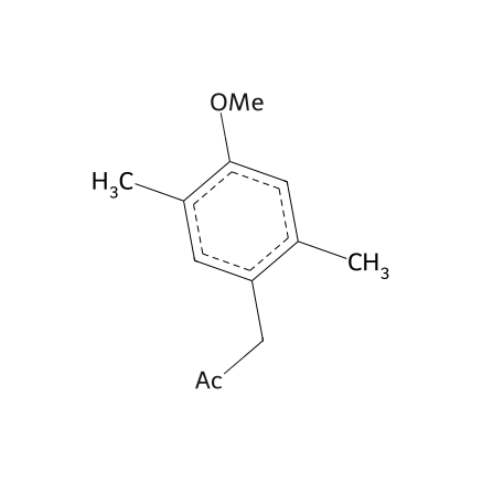 COc1cc(C)c(CC(C)=O)cc1C